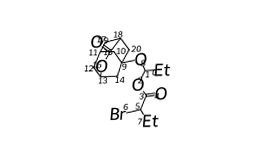 CCC(OC(=O)C(Br)CC)OC12CC3CC(C1)OC(=O)C(C3)C2